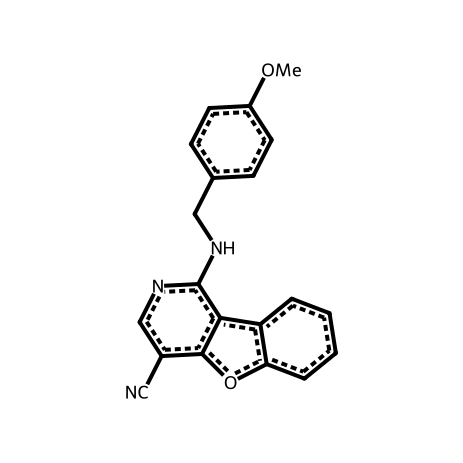 COc1ccc(CNc2ncc(C#N)c3oc4ccccc4c23)cc1